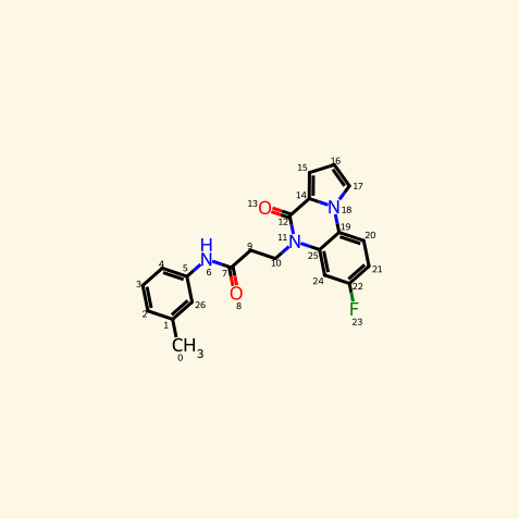 Cc1cccc(NC(=O)CCn2c(=O)c3cccn3c3ccc(F)cc32)c1